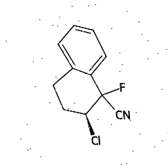 N#CC1(F)c2ccccc2CC[C@@H]1Cl